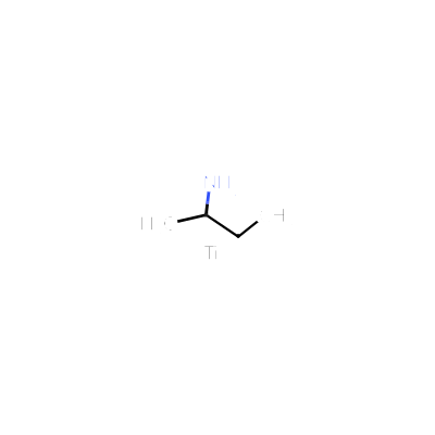 CCC(C)N.[Ti]